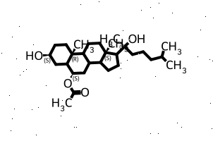 CC(=O)O[C@H]1CC2C3CCC([C@@](C)(O)CCCC(C)C)[C@@]3(C)CCC2[C@@]2(C)CC[C@H](O)CC12